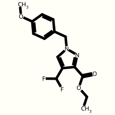 CCOC(=O)c1nn(Cc2ccc(OC)cc2)cc1C(F)F